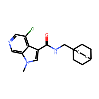 Cn1cc(C(=O)NCC23CCC(CC2)CC3)c2c(Cl)cncc21